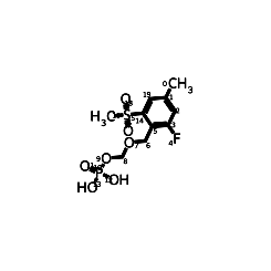 Cc1cc(F)c(COCOP(=O)(O)O)c(S(C)(=O)=O)c1